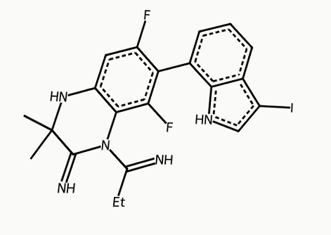 CCC(=N)N1C(=N)C(C)(C)Nc2cc(F)c(-c3cccc4c(I)c[nH]c34)c(F)c21